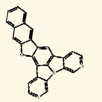 c1ccc2cc3c(cc2c1)oc1c3cc2c3ccncc3n3c4cnccc4c1c23